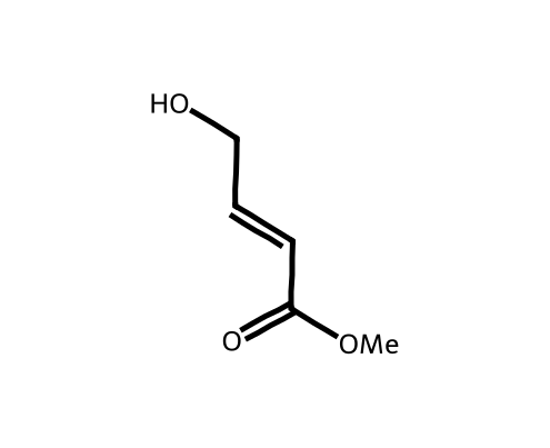 COC(=O)C=CCO